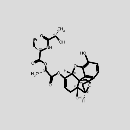 CC(C)C[C@H](NC(=O)[C@H](C)O)C(=O)O[C@@H](C)C(=O)OC1=CC[C@@]2(O)[C@@H]3CCC[C@@]24c2c(ccc(O)c2O[C@@H]14)C3